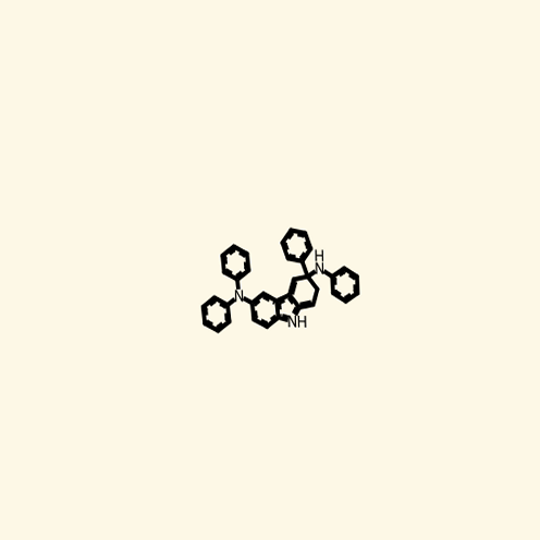 C1=c2[nH]c3ccc(N(c4ccccc4)c4ccccc4)cc3c2=CC(Nc2ccccc2)(c2ccccc2)C1